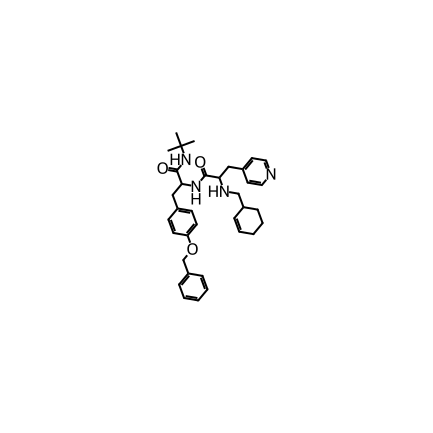 CC(C)(C)NC(=O)C(Cc1ccc(OCc2ccccc2)cc1)NC(=O)C(Cc1ccncc1)NCC1C=CCCC1